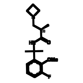 COc1c(F)cccc1C(C)(C)NC(=O)[C@H](C)CN1CCC1